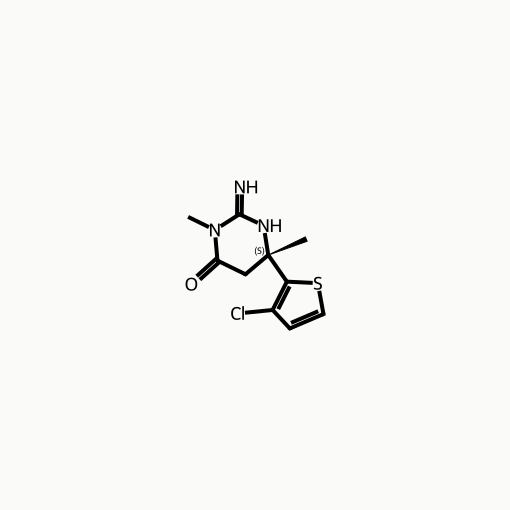 CN1C(=N)N[C@](C)(c2sccc2Cl)CC1=O